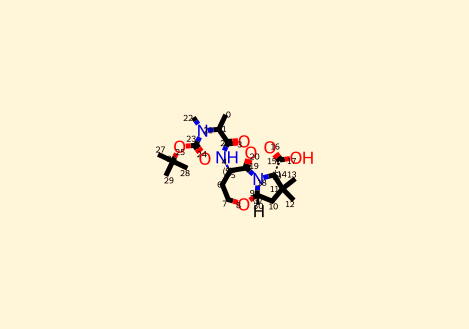 CC(C(=O)N[C@H]1CCO[C@H]2CC(C)(C)[C@@H](C(=O)O)N2C1=O)N(C)C(=O)OC(C)(C)C